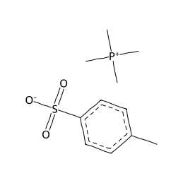 C[P+](C)(C)C.Cc1ccc(S(=O)(=O)[O-])cc1